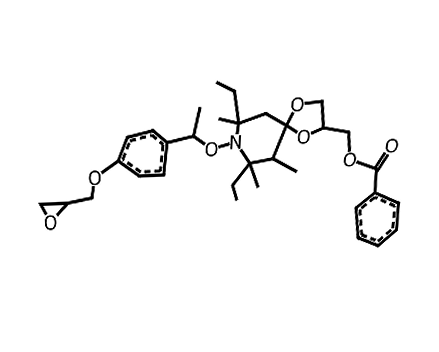 CCC1(C)CC2(OCC(COC(=O)c3ccccc3)O2)C(C)C(C)(CC)N1OC(C)c1ccc(OCC2CO2)cc1